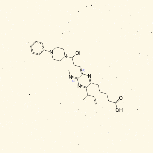 C=CC(C)C1=NC(=N/C)/C(=C\CC(O)N2CCN(c3ccccc3)CC2)N=C1CCCCC(=O)O